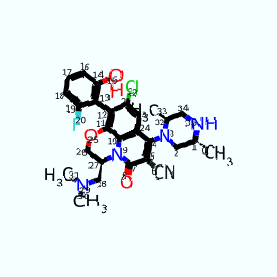 C[C@@H]1CN(c2c(C#N)c(=O)n3c4c(c(-c5c(O)cccc5F)c(Cl)cc24)OC[C@@H]3CN(C)C)[C@@H](C)CN1